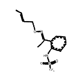 C/C=C/CO/N=C(\C)c1ccccc1NS(=O)(=O)C(F)(F)F